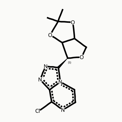 CC1(C)OC2CO[C@@H](c3nnc4c(Cl)nccn34)C2O1